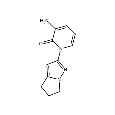 Nc1cccn(-c2cc3n(n2)CCC3)c1=O